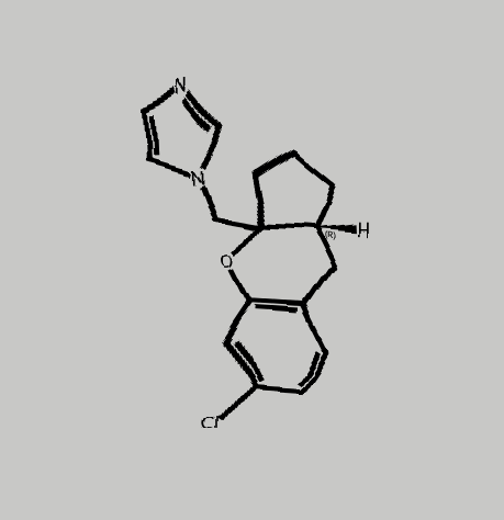 Clc1ccc2c(c1)OC1(Cn3ccnc3)CCC[C@@H]1C2